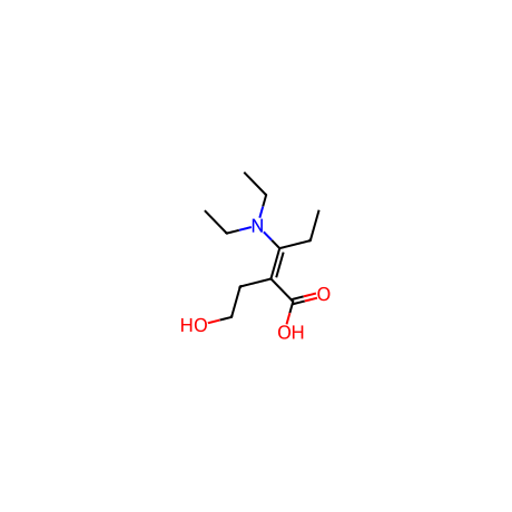 CCC(=C(CCO)C(=O)O)N(CC)CC